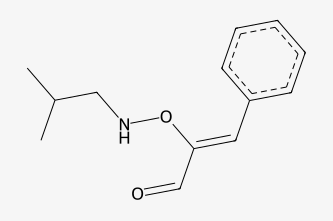 CC(C)CNOC(C=O)=Cc1ccccc1